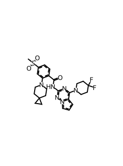 CS(=O)(=O)c1ccc(C(=O)Nc2nc(N3CCC(F)(F)CC3)c3cccn3n2)c(N2CCC3(CC2)CC3)c1